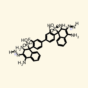 [H]/N=N/C1=C(N)c2ccccc2C(c2ccc(-c3ccc(C4(S(=O)(=O)O)c5ccccc5C(N)=C(/N=N/[H])C4N)c(F)c3)cc2F)(S(=O)(=O)O)C1N